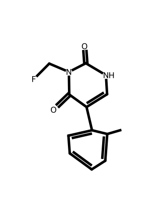 Cc1ccccc1-c1c[nH]c(=O)n(CF)c1=O